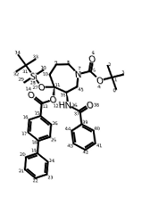 CC(C)(C)OC(=O)N1CCC[C@@](OC(=O)c2ccc(-c3ccccc3)cc2)(O[Si](C)(C)C(C)(C)C)[C@H](NC(=O)c2ccccc2)C1